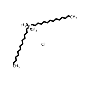 CCCCCCCCCCCCCC[P+](C)(C)CCCCCCCCCCCCCC.[Cl-]